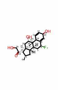 C[C@@H]1C[C@H]2[C@@H]3C[C@H](F)C4=CC(O)C=C[C@]4(C)[C@@]3(C)[C@@H](O)C[C@]2(C)[C@H]1C(=O)CO